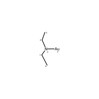 CC[N]([Au])CC